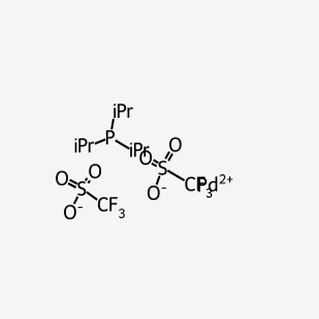 CC(C)P(C(C)C)C(C)C.O=S(=O)([O-])C(F)(F)F.O=S(=O)([O-])C(F)(F)F.[Pd+2]